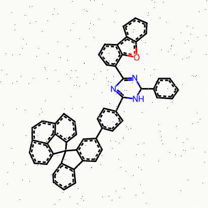 c1ccc(C2N=C(c3cccc4c3oc3ccccc34)N=C(c3ccc(-c4ccc5c(c4)C4(c6ccccc6-5)c5cccc6ccc7cccc4c7c56)cc3)N2)cc1